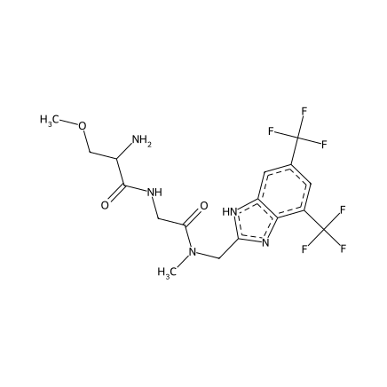 COCC(N)C(=O)NCC(=O)N(C)Cc1nc2c(C(F)(F)F)cc(C(F)(F)F)cc2[nH]1